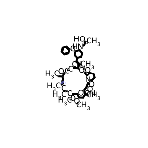 CCC1/C=C(\C)CC(C)CC(OC)C2OC(O)(C(=O)C(=O)N3CCCCC3C(=O)OC(C(C)=CC3CCC(NC[C@@H](C)O)C(Oc4ccccc4)C3)C(C)CCC1=O)C(C)CC2OC